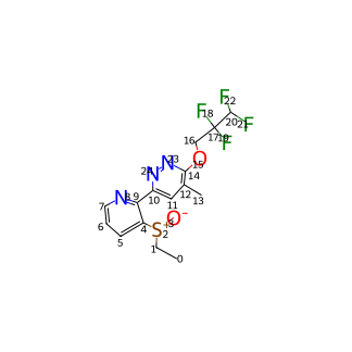 CC[S+]([O-])c1cccnc1-c1cc(C)c(OCC(F)(F)C(F)F)nn1